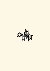 Cc1cccc(Nc2cc(C)nc3nc(C(C)(F)F)nn23)c1